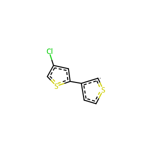 Clc1csc(-c2[c]scc2)c1